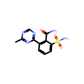 Cc1ncnc(-c2cccc(S(N)(=O)=O)c2C(N)=O)n1